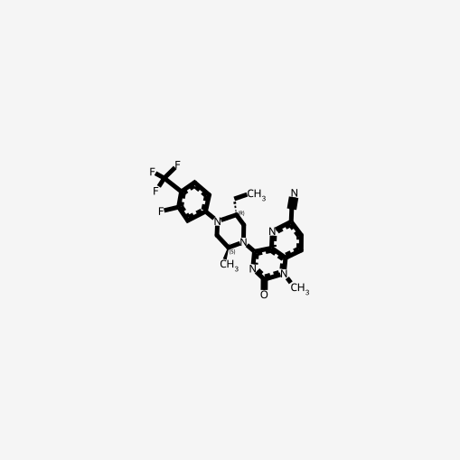 CC[C@@H]1CN(c2nc(=O)n(C)c3ccc(C#N)nc23)[C@@H](C)CN1c1ccc(C(F)(F)F)c(F)c1